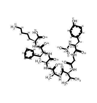 CC(C)[C@H](NC(=O)CNC(=O)[C@H](Cc1ccc(O)cc1)N[N+](=O)[O-])C(=O)N[C@@H](C)C(=O)N[C@@H](C)C(=O)N[C@@H](Cc1ccccc1)C(=O)N[C@@H](CCCCN)C(=O)O